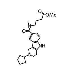 COC(=O)CCCN(C)C(=O)c1ccc2[nH]c3c(c2c1)CN(C1CCCC1)CC3